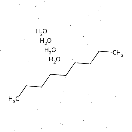 CCCCCCCCC.O.O.O.O